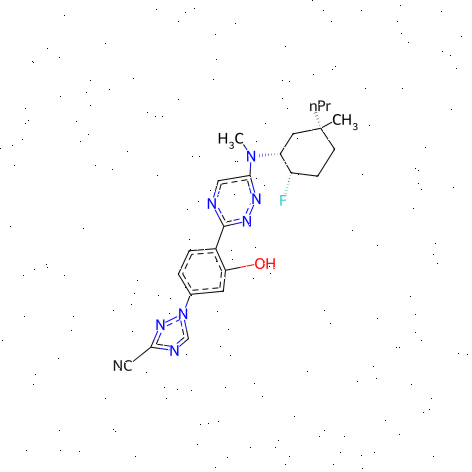 CCC[C@]1(C)CC[C@H](F)[C@H](N(C)c2cnc(-c3ccc(-n4cnc(C#N)n4)cc3O)nn2)C1